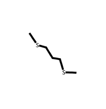 CSCCCSC